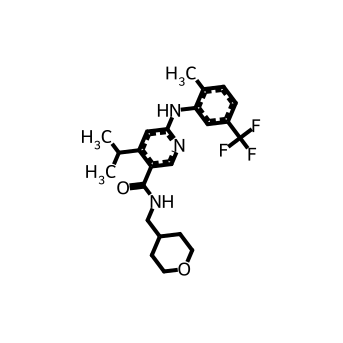 Cc1ccc(C(F)(F)F)cc1Nc1cc(C(C)C)c(C(=O)NCC2CCOCC2)cn1